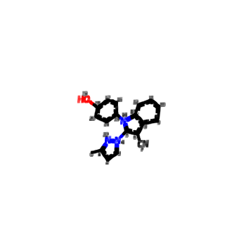 Cc1ccn(-c2c(C#N)c3ccccc3n2-c2ccc(O)cc2)n1